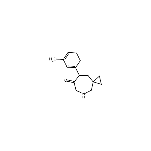 CC1=CCCC(C2CC3(CC3)CNCC2=O)=C1